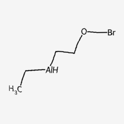 C[CH2][AlH][CH2]COBr